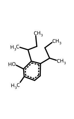 CCC(C)c1ccc(C)c(O)c1C(C)CC